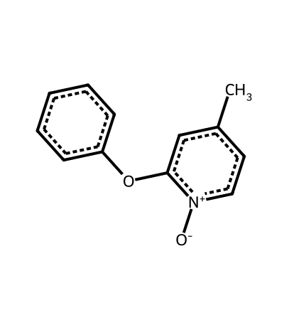 Cc1cc[n+]([O-])c(Oc2ccccc2)c1